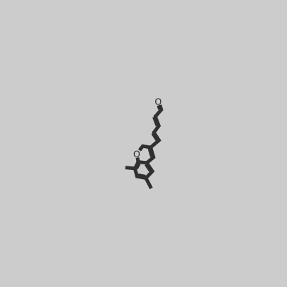 Cc1cc(C)c2c(c1)C=C(/C=C/C=C/C=O)CO2